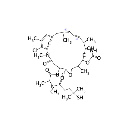 C/C1=C\C=C\C(C)C2(O)CC(OC(=O)N2)C(C)C2OC2(C)C(OC(=O)C(C)N(C)C(=O)CCC(C)(C)S)CC(=O)N(C)c2cc(cc(C)c2Cl)C1